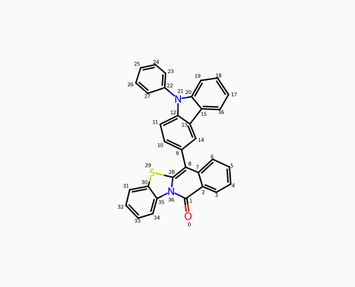 O=c1c2ccccc2c(-c2ccc3c(c2)c2ccccc2n3-c2ccccc2)c2sc3ccccc3n12